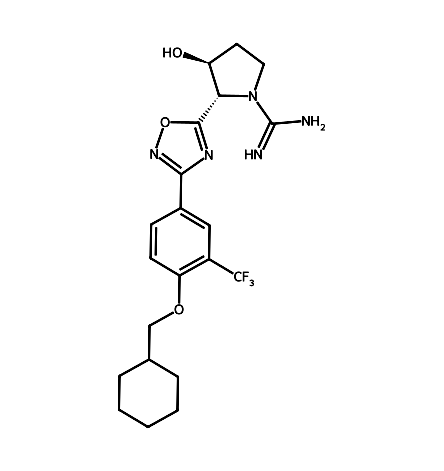 N=C(N)N1CC[C@H](O)[C@H]1c1nc(-c2ccc(OCC3CCCCC3)c(C(F)(F)F)c2)no1